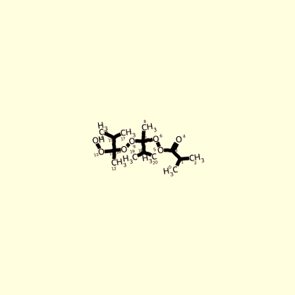 CC(C)C(=O)OOC(C)(OOC(C)(OO)C(C)C)C(C)C